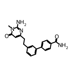 Cn1c(N)nc(CCc2cccc(-c3ccc(C(N)=O)cc3)c2)cc1=O